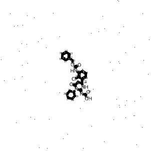 C[C@@]1(c2cccc(NC(=O)OCc3ccccc3)c2Cl)CC(=O)N(C2CCCCC2)C(=NC(=O)O)N1